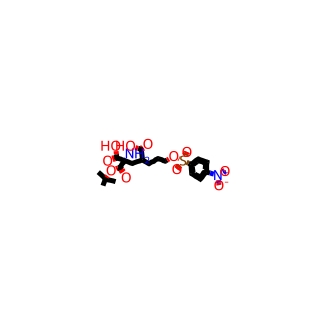 CC(C)(C)OC(=O)C(N)(CC(CCCOS(=O)(=O)c1ccc([N+](=O)[O-])cc1)C(=O)O)C(=O)O